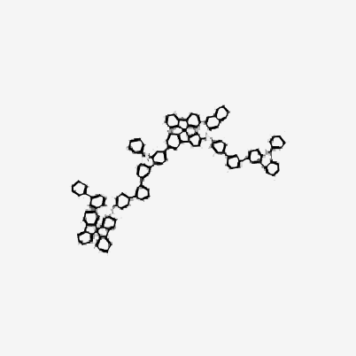 c1ccc(-c2ccc(N(c3ccc(-c4cccc(-c5ccc6c(c5)c5ccc(-c7ccc8c(c7)-c7ccc(N(c9ccc(-c%10cccc(-c%11ccc%12c(c%11)c%11ccccc%11n%12-c%11ccccc%11)c%10)cc9)c9ccc%10ccccc%10c9)cc7C87c8ccccc8-c8ccccc87)cc5n6-c5ccccc5)c4)cc3)c3ccc4c(c3)C3(c5ccccc5-c5ccccc53)c3ccccc3-4)cc2)cc1